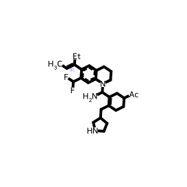 C/C=C(\CC)c1cc2c(cc1C(F)F)N(C(N)C1=C(CC3CCNC3)CCC(C(C)=O)C1)CCC2